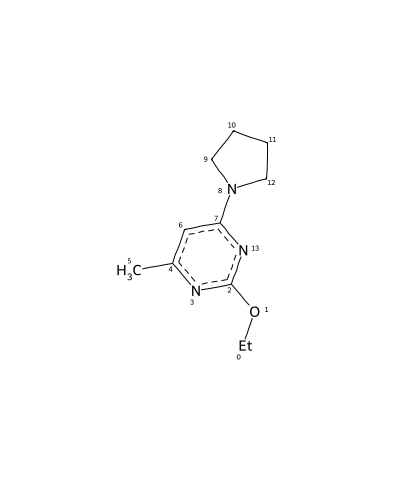 CCOc1nc(C)cc(N2CCCC2)n1